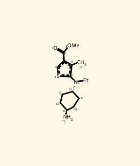 CCN(c1scc(C(=O)OC)c1C)[C@H]1CC[C@H](N)CC1